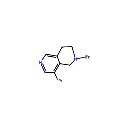 CC(C)c1cncc2c1CN(C(C)C)CC2